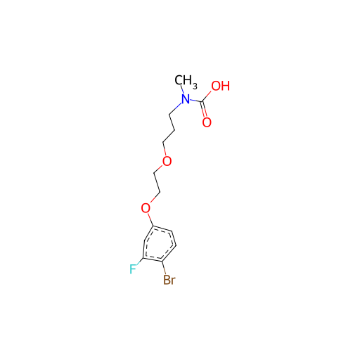 CN(CCCOCCOc1ccc(Br)c(F)c1)C(=O)O